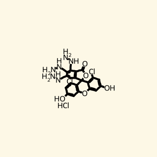 Cl.NNc1c(Cl)c2c(c(NN)c1NN)C(=O)OC21c2ccc(O)cc2Oc2cc(O)cc(Cl)c21